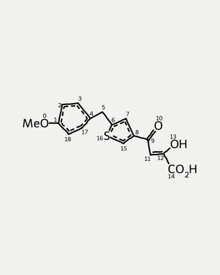 COc1ccc(Cc2cc(C(=O)C=C(O)C(=O)O)cs2)cc1